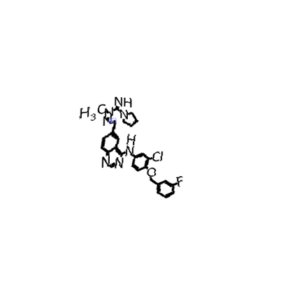 CN(/N=C/c1ccc2ncnc(Nc3ccc(OCc4cccc(F)c4)c(Cl)c3)c2c1)C(=N)N1CCCC1